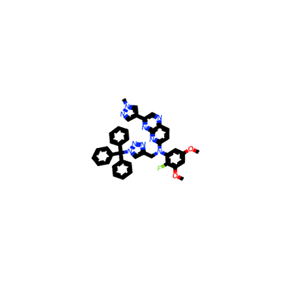 COc1cc(OC)c(F)c(N(Cc2cn(C(c3ccccc3)(c3ccccc3)c3ccccc3)nn2)c2ccc3ncc(-c4cnn(C)c4)nc3n2)c1